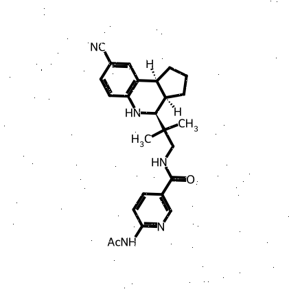 CC(=O)Nc1ccc(C(=O)NCC(C)(C)[C@H]2Nc3ccc(C#N)cc3[C@H]3CCC[C@H]32)cn1